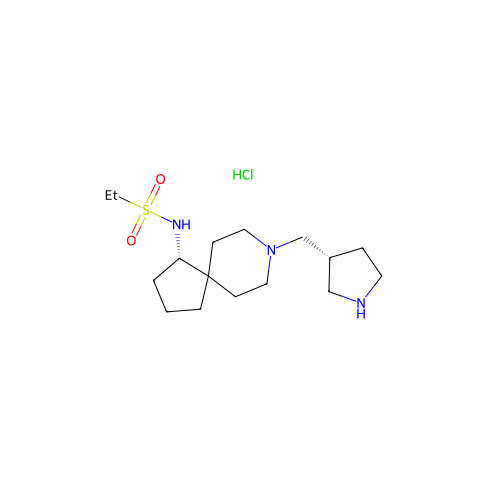 CCS(=O)(=O)N[C@H]1CCCC12CCN(C[C@@H]1CCNC1)CC2.Cl